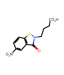 O=C(O)CCCn1sc2ccc([N+](=O)[O-])cc2c1=O